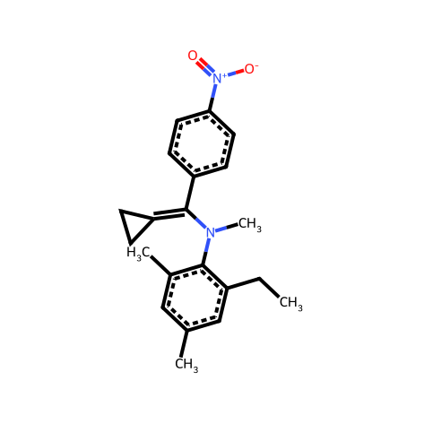 CCc1cc(C)cc(C)c1N(C)C(=C1CC1)c1ccc([N+](=O)[O-])cc1